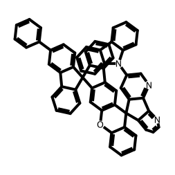 c1ccc(-c2ccc3c(c2)-c2ccccc2C32c3ccccc3-c3cc4c(cc32)Oc2ccccc2C42c3cccnc3-c3ncc(-n4c5ccccc5c5ccccc54)cc32)cc1